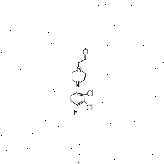 Fc1ccc(N2CCN(CCCl)CC2)c(Cl)c1Cl